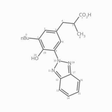 CCCCc1cc(CC(C)C(=O)O)cc(-n2nc3ccccc3n2)c1O